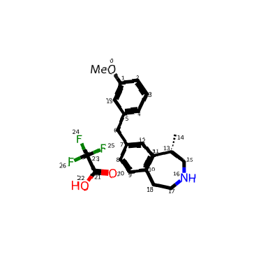 COc1cccc(Cc2ccc3c(c2)[C@H](C)CNCC3)c1.O=C(O)C(F)(F)F